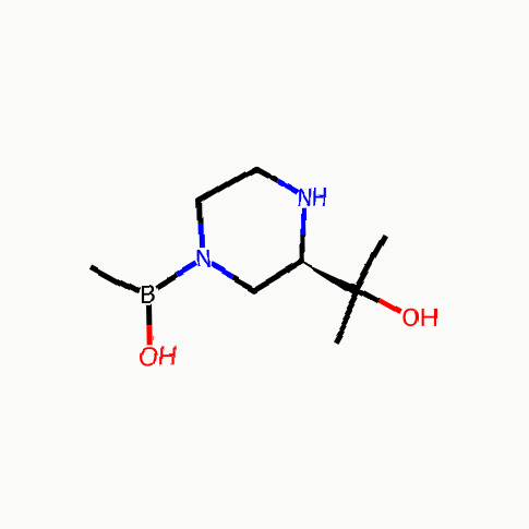 CB(O)N1CCN[C@@H](C(C)(C)O)C1